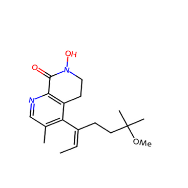 C/C=C(/CCC(C)(C)OC)c1c(C)cnc2c1CCN(O)C2=O